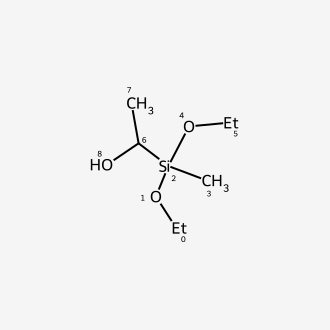 CCO[Si](C)(OCC)C(C)O